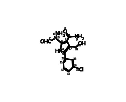 NC(=O)c1c(N(N)C=O)[nH]c(-c2cccc(Cl)c2)c1CO